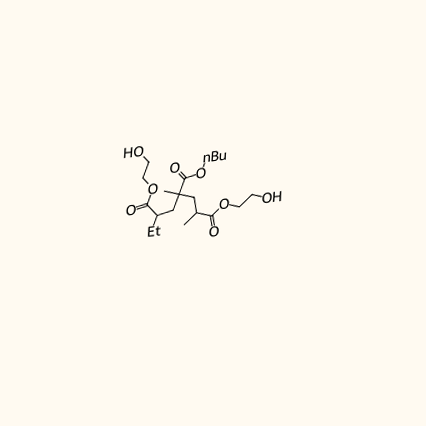 CCCCOC(=O)C(C)(CC(C)C(=O)OCCO)CC(CC)C(=O)OCCO